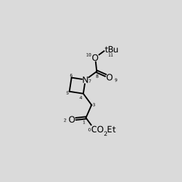 CCOC(=O)C(=O)CC1CCN1C(=O)OC(C)(C)C